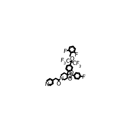 O=C(Cc1ccncc1)N1CCC(c2ccc(C(OCc3c(F)cccc3F)(C(F)(F)F)C(F)(F)F)cc2)(S(=O)(=O)c2ccc(F)cc2)CC1